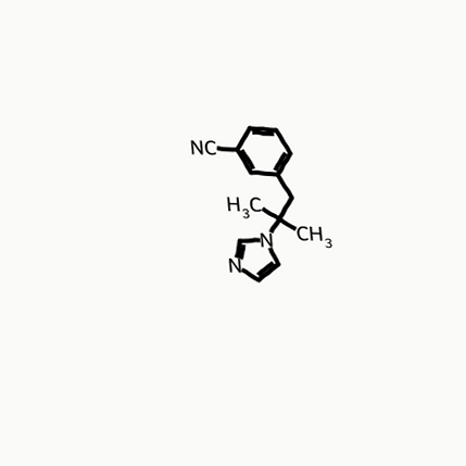 CC(C)(Cc1cccc(C#N)c1)n1ccnc1